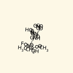 COc1ccc(C2=C(O)/C(=C/C3=[N+](CCCCCC(=O)NC(CSOOO)C(=O)NCCCC(=O)ON4C(=O)CCC4=O)c4ccc(F)cc4C3(C)C)C2=O)cc1